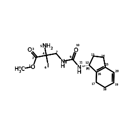 COC(=O)C(N)(I)CNC(=O)N[C@@H]1CCC2=C1CCC=C2